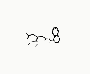 COC(OC)C(CC(=O)N[C@H](C)c1cccc2ccccc12)CC(C)C